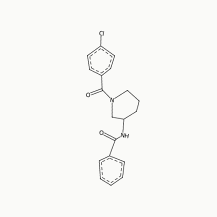 O=C(NC1CCCN(C(=O)c2ccc(Cl)cc2)C1)c1ccccc1